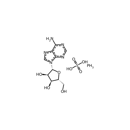 Nc1ncnc2c1ncn2[C@@H]1O[C@H](CO)[C@@H](O)[C@H]1O.O=S(=O)(O)O.P